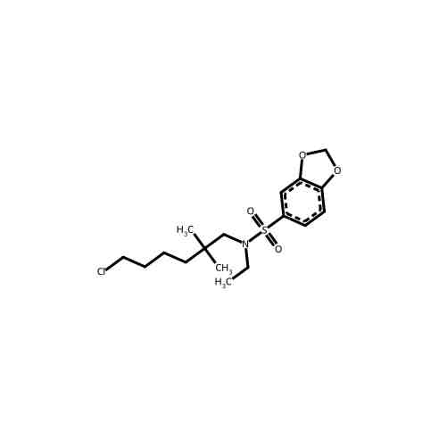 CCN(CC(C)(C)CCCCCl)S(=O)(=O)c1ccc2c(c1)OCO2